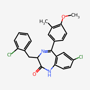 COc1ccc(C2=NC(Cc3ccccc3Cl)C(=O)Nc3ccc(Cl)cc32)cc1C